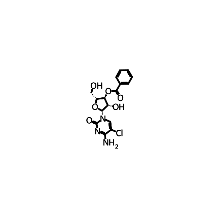 Nc1nc(=O)n([C@@H]2O[C@H](CO)[C@@H](OC(=O)c3ccccc3)[C@@H]2O)cc1Cl